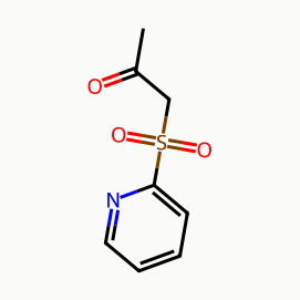 CC(=O)CS(=O)(=O)c1ccccn1